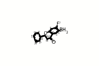 Bc1cc2c(cc1F)OC(c1ccccc1)CC2=O